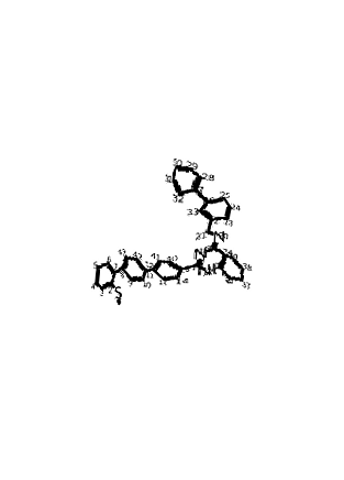 CSc1ccccc1-c1ccc(-c2ccc(/C(N)=N/C(=N\Cc3cccc(-c4ccccc4)c3)C3=CCCC=C3)cc2)cc1